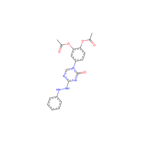 CC(=O)Oc1ccc(-n2cnc(NNc3ccccc3)nc2=O)cc1OC(C)=O